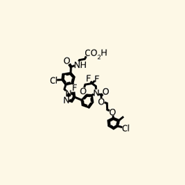 Cc1c(Cl)cccc1OCCOC(=O)N1CC(F)(F)COc2c(-c3cnn(Cc4c(F)cc(C(=O)NCCC(=O)O)cc4Cl)c3)cccc21